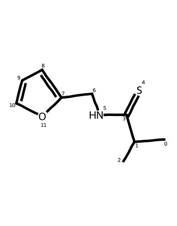 CC(C)C(=S)NCc1ccco1